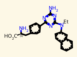 CCN(c1ccc2ccccc2c1)c1nc(N)nc(-c2ccc(C[C@H](N)C(=O)O)cc2)n1